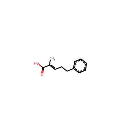 C/C(=C\CCc1ccccc1)C(=O)O